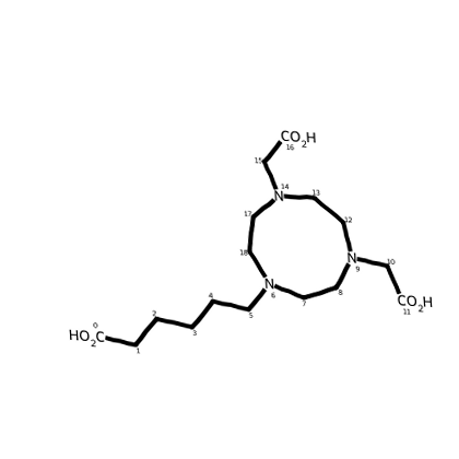 O=C(O)CCCCCN1CCN(CC(=O)O)CCN(CC(=O)O)CC1